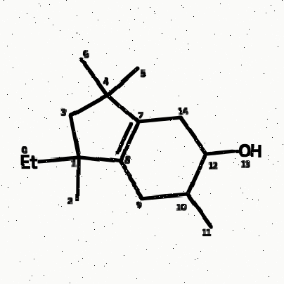 CCC1(C)CC(C)(C)C2=C1CC(C)C(O)C2